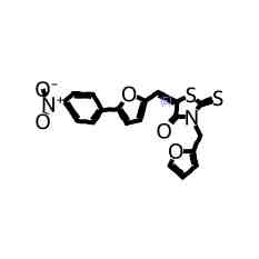 O=C1/C(=C\c2ccc(-c3ccc([N+](=O)[O-])cc3)o2)SC(=S)N1Cc1ccco1